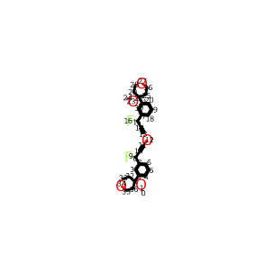 COC1(c2cccc(C(F)C#COC#CC(F)c3cccc(C4(OC)CCOCC4)c3)c2)CCOCC1